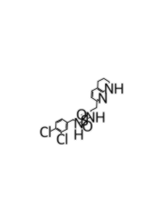 O=S(=O)(NCCc1ccc2c(n1)NCCC2)NCc1ccc(Cl)c(Cl)c1